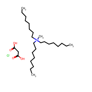 CCCCCCCC[N+](C)(CCCCCCCC)CCCCCCCC.O=C(O)CC(=O)O.[Cl-]